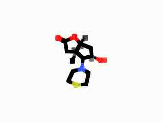 O=C1C[C@@H]2C(N3CCSCC3)[C@@H](O)C[C@@H]2O1